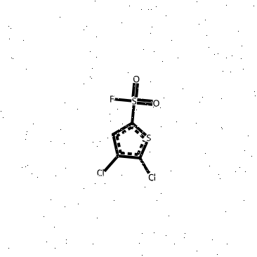 O=S(=O)(F)c1cc(Cl)c(Cl)s1